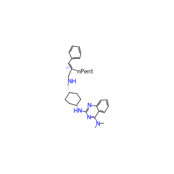 CCCCC/C(=C\c1ccccc1)CNC[C@H]1CC[C@@H](Nc2nc(N(C)C)c3ccccc3n2)CC1